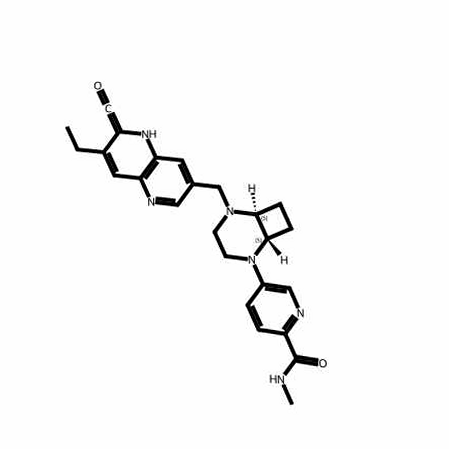 CCC1=Cc2ncc(CN3CCN(c4ccc(C(=O)NC)nc4)[C@H]4CC[C@@H]43)cc2NC1=C=O